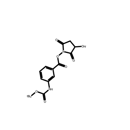 CC(C)(C)OC(=O)Nc1cccc(C(=O)ON2C(=O)CC(O)C2=O)c1